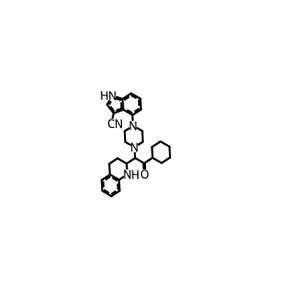 N#Cc1c[nH]c2cccc(N3CCN(C(C(=O)C4CCCCC4)C4CCc5ccccc5N4)CC3)c12